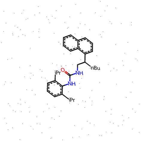 CCCCC(CNC(=O)Nc1c(C(C)C)cccc1C(C)C)c1cccc2ccccc12